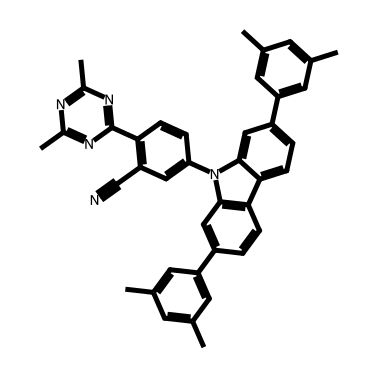 Cc1cc(C)cc(-c2ccc3c4ccc(-c5cc(C)cc(C)c5)cc4n(-c4ccc(-c5nc(C)nc(C)n5)c(C#N)c4)c3c2)c1